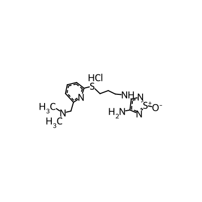 CN(C)Cc1cccc(SCCCNc2n[s+]([O-])nc2N)n1.Cl